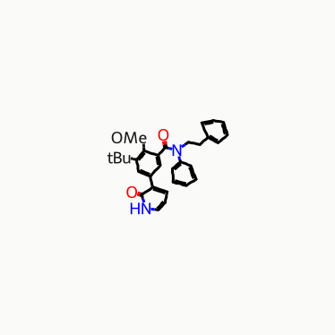 COc1c(C(=O)N(CCc2ccccc2)c2ccccc2)cc(-c2ccc[nH]c2=O)cc1C(C)(C)C